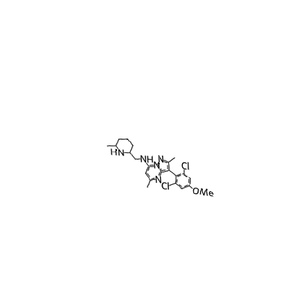 COc1cc(Cl)c(-c2c(C)nn3c(NCC4CCCC(C)N4)cc(C)nc23)c(Cl)c1